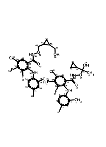 Cc1cc(I)ccc1Nc1c(C(=O)NOC(C)(O)C2CC2)cc(Cl)c(F)c1F.Cc1cc(I)ccc1Nc1c(C(=O)NOCC2CC2CO)cc(Cl)c(F)c1F